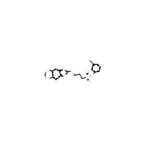 Cc1cccc(NS(=O)(=O)CCCSc2nc3cc4c(cc3s2)OCO4)c1